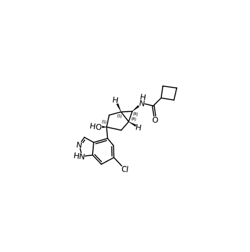 O=C(N[C@H]1[C@@H]2C[C@](O)(c3cc(Cl)cc4[nH]ncc34)C[C@@H]21)C1CCC1